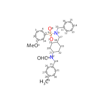 COc1cccc(S(=O)(=O)N(Cc2ccccc2)CC2CCC(N(C=O)Cc3ccc(C)cc3)CC2)c1